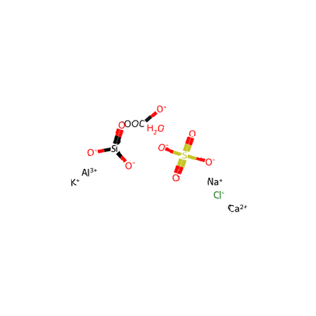 O.O=C([O-])[O-].O=S(=O)([O-])[O-].O=[Si]([O-])[O-].[Al+3].[Ca+2].[Cl-].[K+].[Na+]